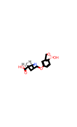 CC1(C(=O)O)CC2C(Oc3ccc4c(c3)COB4O)=N[C@@H]21